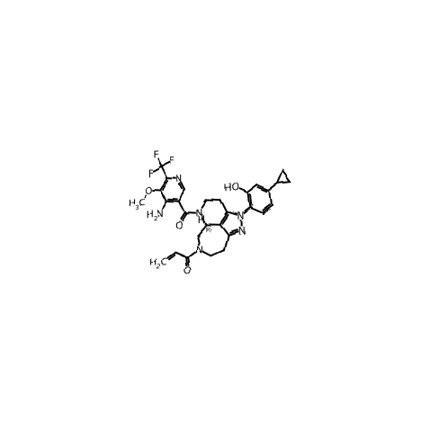 C=CC(=O)N1CCc2nn(-c3ccc(C4CC4)cc3O)c3c2[C@H](C1)N(C(=O)c1cnc(C(F)(F)F)c(OC)c1N)CC3